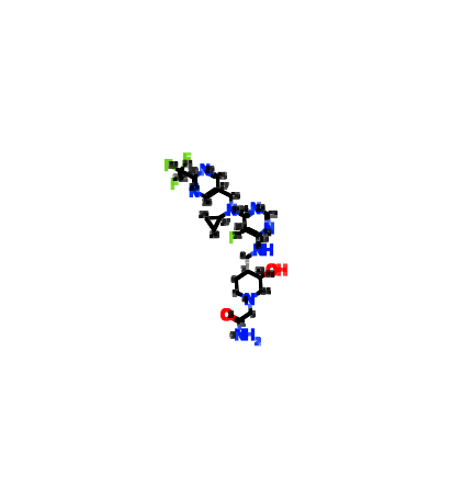 NC(=O)CN1CC[C@H](CNc2ncnc(N(Cc3cnc(C(F)(F)F)nc3)C3CC3)c2F)[C@@H](O)C1